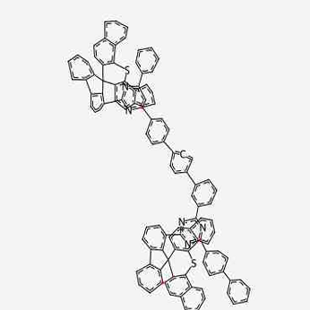 c1ccc(-c2ccc(-c3nc(-c4cccc(-c5ccc(-c6ccc(-c7cc(-c8ccccc8)nc(-c8cccc9c8C8(c%10ccccc%10-9)c9ccc%10ccccc%10c9Sc9c8ccc8ccccc98)n7)cc6)cc5)c4)nc(-c4cccc5c4C4(c6ccccc6-5)c5ccc6ccccc6c5Sc5c4ccc4ccccc54)n3)cc2)cc1